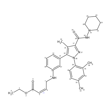 CCOC(=O)/C=C\CNc1cccc(-c2c(C)c(C(=O)NN3CCCCC3)nn2-c2ccc(C)cc2C)c1